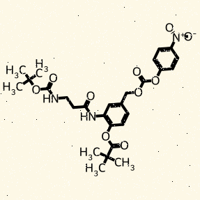 CC(C)(C)OC(=O)NCCC(=O)Nc1cc(COC(=O)Oc2ccc([N+](=O)[O-])cc2)ccc1OC(=O)C(C)(C)C